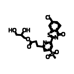 CS(=O)(=O)c1cc(CCC(=O)OCC(O)CO)nc(-c2nc(=O)c3ccc(Cl)cc3s2)c1